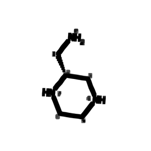 NC[C@@H]1CNCCN1